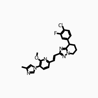 COc1nc(/C=C/c2nc3n(n2)CCCC3c2ccc(Cl)c(F)c2)ccc1-n1cnc(C)c1